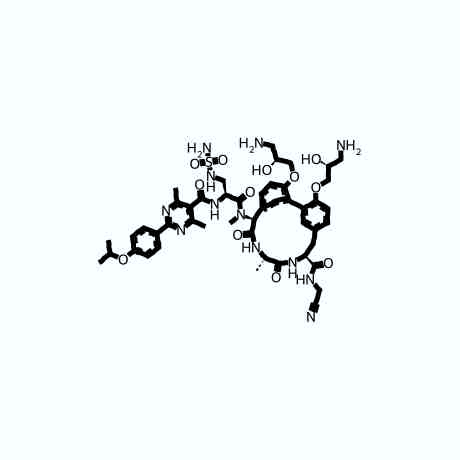 Cc1nc(-c2ccc(OC(C)C)cc2)nc(C)c1C(=O)N[C@@H](CNS(N)(=O)=O)C(=O)N(C)[C@@H]1C(=O)N[C@@H](C)C(=O)N[C@H](C(=O)NCC#N)Cc2ccc(OC[C@H](O)CN)c(c2)-c2cc1ccc2OC[C@H](O)CN